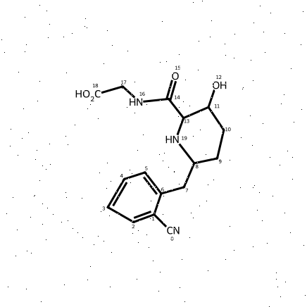 N#Cc1ccccc1CC1CCC(O)C(C(=O)NCC(=O)O)N1